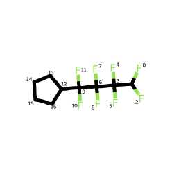 FC(F)C(F)(F)C(F)(F)C(F)(F)C1CCCC1